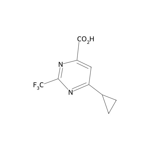 O=C(O)c1cc(C2CC2)nc(C(F)(F)F)n1